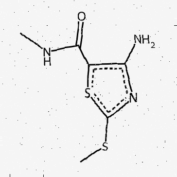 CNC(=O)c1sc(SC)nc1N